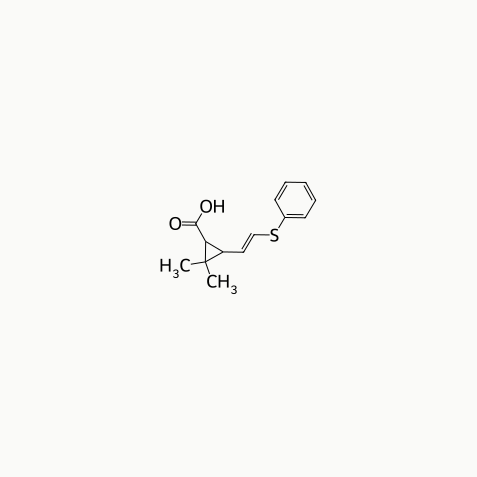 CC1(C)C(C=CSc2ccccc2)C1C(=O)O